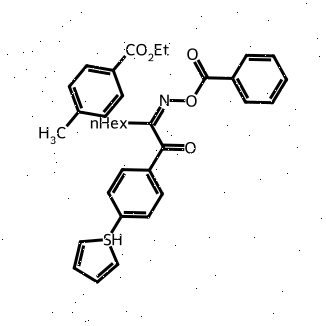 CCCCCCC(=NOC(=O)c1ccccc1)C(=O)c1ccc([SH]2C=CC=C2)cc1.CCOC(=O)c1ccc(C)cc1